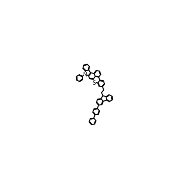 c1ccc(-c2ccc(-c3ccc4c(c3)-c3ccccc3C4CCc3ccc4c(c3)Sc3cc5c(c6cccc-4c36)c3ccccc3n5-c3ccccc3)cc2)cc1